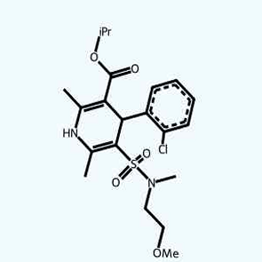 COCCN(C)S(=O)(=O)C1=C(C)NC(C)=C(C(=O)OC(C)C)C1c1ccccc1Cl